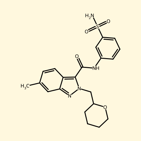 Cc1ccc2c(C(=O)Nc3cccc(S(N)(=O)=O)c3)n(CC3CCCCO3)nc2c1